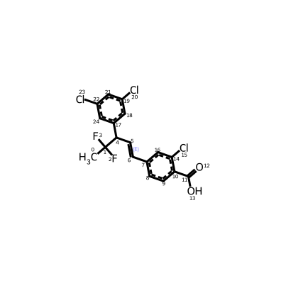 CC(F)(F)C(/C=C/c1ccc(C(=O)O)c(Cl)c1)c1cc(Cl)cc(Cl)c1